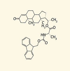 C[C@H](NC(=O)OCC1c2ccccc2-c2ccccc21)C(=O)O[C@@H](C)[C@H]1CCC2C3CCC4=CC(=O)CC[C@]4(C)C3CC[C@@]21C